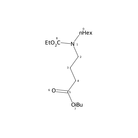 CCCCCCN(CCCC(=O)OCC(C)C)C(=O)OCC